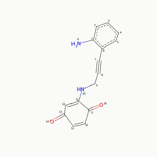 Nc1ccccc1C#CCNC1=CC(=O)C=CC1=O